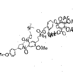 COC(=O)[C@H]1O[C@@H](Oc2ccc(COC(=O)NCCc3cc4c(cc3OC)C(=O)N3C=C(c5ccc(OC)cc5)CC3C(=O)N4COCC[Si](C)(C)C)c(O)c2)[C@H](OC(C)=O)[C@@H](OC(C)=O)[C@@H]1OC(C)=O